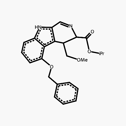 COCC1c2c([nH]c3cccc(OCc4ccccc4)c23)C=NC1C(=O)OC(C)C